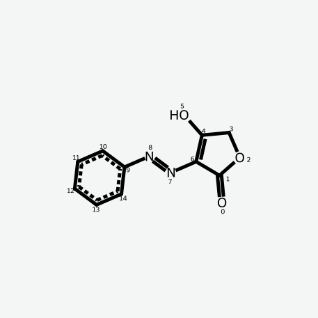 O=C1OCC(O)=C1N=Nc1ccccc1